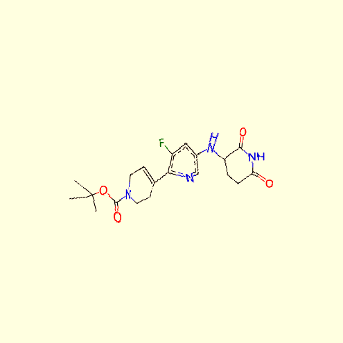 CC(C)(C)OC(=O)N1CC=C(c2ncc(NC3CCC(=O)NC3=O)cc2F)CC1